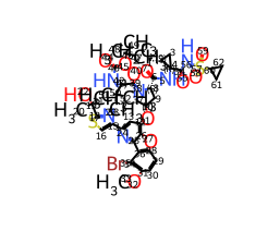 C=C[C@@H]1C[C@]1(NC(=O)[C@@H]1C[C@@H](Oc2cc(-c3csc(C(C)(C)O)n3)nc3c2oc2ccc(OC)c(Br)c23)CN1C(=O)[C@@H](NC(=O)OC(C)(C)C)C(C)(C)C)C(=O)NS(=O)(=O)C1CC1